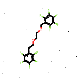 Fc1c(F)c(F)c(CCOCCOCc2c(F)c(F)c(F)c(F)c2F)c(F)c1F